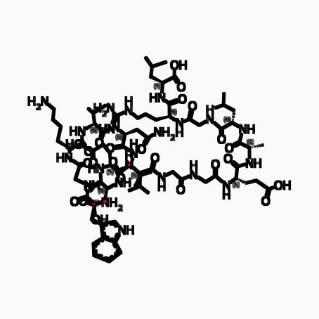 CC(C)C[C@H](NC(=O)[C@H](CCCNC(=N)N)NC(=O)CNC(=O)[C@H](CC(C)C)NC(=O)[C@H](C)NC(=O)[C@H](CCC(=O)O)NC(=O)CNC(=O)CNC(=O)[C@@H](NC(=O)[C@H](CCC(=O)O)NC(=O)[C@H](CC(=O)O)NC(=O)[C@@H](NC(=O)[C@H](CC(N)=O)NC(=O)[C@@H](NC(=O)[C@H](CCCCN)NC(=O)CNC(=O)[C@@H](N)Cc1c[nH]c2ccccc12)C(C)C)C(C)C)C(C)C)C(=O)O